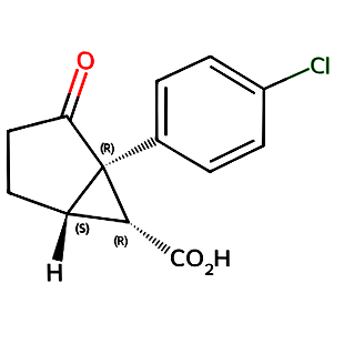 O=C(O)[C@@H]1[C@@H]2CCC(=O)[C@@]12c1ccc(Cl)cc1